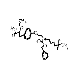 CCOC(Cc1ccc(OCCN(CCCCC(C)(F)F)C(=O)OCc2ccccc2)cc1)C(=O)O